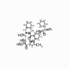 CCCCN(CCCC)C(=O)c1cc(C)n(-c2ccc(NC(=O)C(CCC)c3ccccc3)cc2C(=O)N2Cc3ccccc3C[C@H]2CO)n1